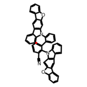 N#Cc1cccc(-c2ccccc2-n2c3ccccc3c3cc4c(cc32)oc2ccccc24)c1-n1c2ccccc2c2cc3c(cc21)oc1ccccc13